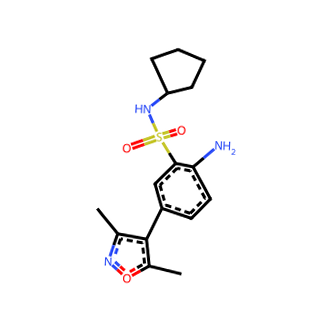 Cc1noc(C)c1-c1ccc(N)c(S(=O)(=O)NC2CCCC2)c1